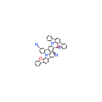 N#Cc1ccc(-n2c3ccccc3c3ccc4c5ccccc5oc4c32)c(-c2cc(C#N)c(C#N)c(-n3c4ccccc4c4ccc5c6ccccc6oc5c43)c2)c1